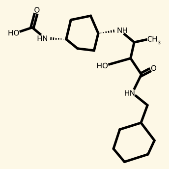 CC(N[C@H]1CC[C@@H](NC(=O)O)CC1)C(O)C(=O)NCC1CCCCC1